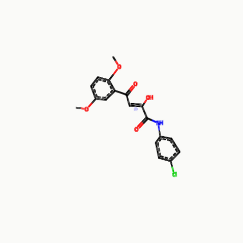 COc1ccc(OC)c(C(=O)/C=C(\O)C(=O)Nc2ccc(Cl)cc2)c1